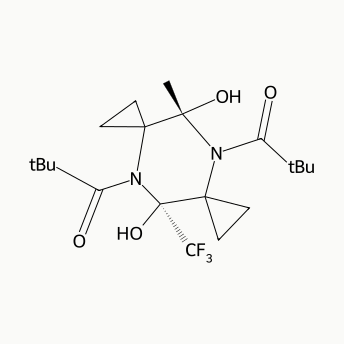 CC(C)(C)C(=O)N1C2(CC2)[C@](C)(O)N(C(=O)C(C)(C)C)C2(CC2)[C@]1(O)C(F)(F)F